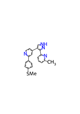 CSc1ccc(-c2cc(-c3c[nH]nc3-c3cccc(C)n3)ccn2)cc1